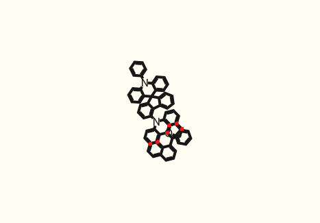 c1ccc(N2c3ccccc3C3(c4ccccc4-c4c(N(c5ccccc5-c5ccccc5-c5cccc6ccccc56)c5cccc6c5oc5ccccc56)cccc43)c3ccccc32)cc1